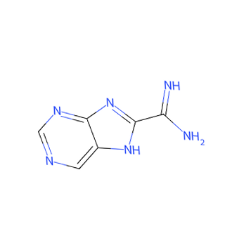 N=C(N)c1nc2ncncc2[nH]1